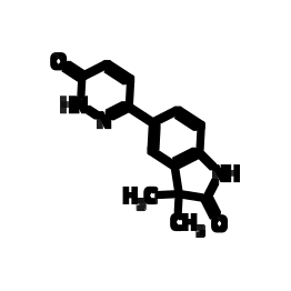 CC1(C)C(=O)Nc2ccc(-c3ccc(=O)[nH]n3)cc21